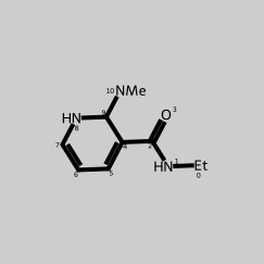 CCNC(=O)C1=CC=CN[C]1NC